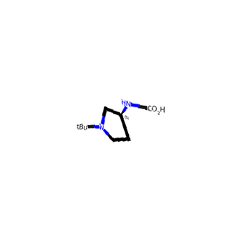 CC(C)(C)N1CC[C@H](NC(=O)O)C1